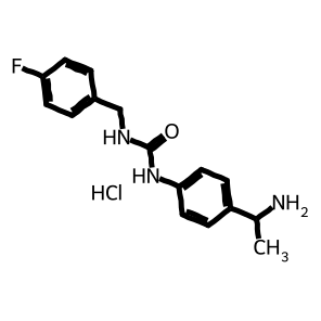 CC(N)c1ccc(NC(=O)NCc2ccc(F)cc2)cc1.Cl